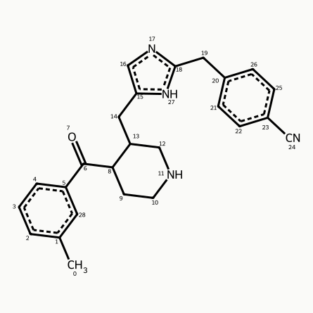 Cc1cccc(C(=O)C2CCNCC2Cc2cnc(Cc3ccc(C#N)cc3)[nH]2)c1